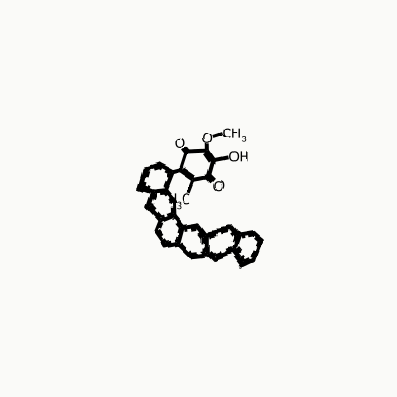 COC1=C(O)C(=O)C(C)=C(c2cccc3cc4ccc5cc6cc7ccccc7cc6cc5c4cc23)C1=O